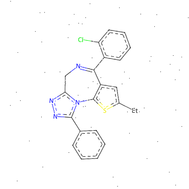 CCc1cc2c(s1)-n1c(nnc1-c1ccccc1)CN=C2c1ccccc1Cl